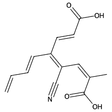 C=CC=CC(C=CC(=O)O)=C(C#N)C=C(C)C(=O)O